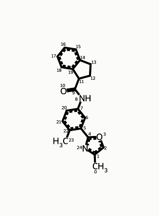 Cc1coc(-c2cc(NC(=O)C3CCc4ccccc43)ccc2C)n1